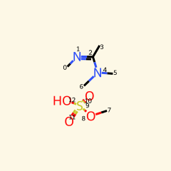 CN=C(C)N(C)C.COS(=O)(=O)O